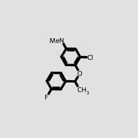 CNc1ccc(OC(C)c2cccc(F)c2)c(Cl)c1